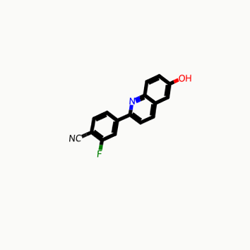 N#Cc1ccc(-c2ccc3cc(O)ccc3n2)cc1F